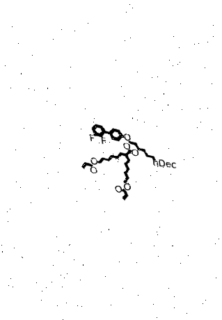 C=CC(=O)OCCCCCCC(CCCCCCOC(=O)C=C)C(=O)OC(CCCCCCCCCCCCCCC)Oc1ccc(-c2cccc(F)c2F)cc1